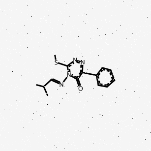 CSc1nnc(-c2ccccc2)c(=O)n1N=CC(C)C